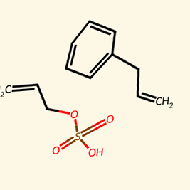 C=CCOS(=O)(=O)O.C=CCc1ccccc1